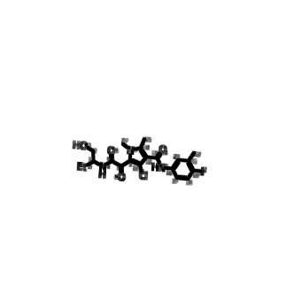 CCC(CO)NC(=O)C(=O)c1c(Cl)c(C(=O)Nc2ccc(F)c(C)c2)c(C)n1C